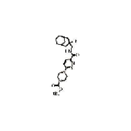 CCC1(CNC(=O)c2ccc(N3CCN(C(=O)OC(C)(C)C)CC3)nn2)CC2CCCC(C2)C1